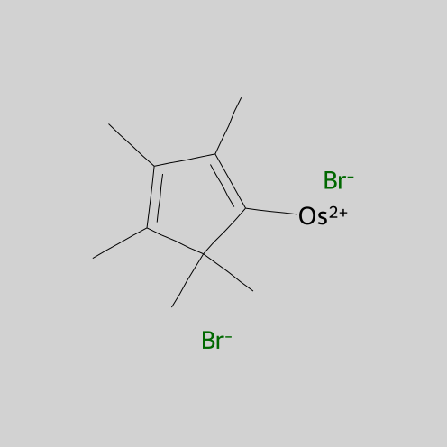 CC1=C(C)C(C)(C)[C]([Os+2])=C1C.[Br-].[Br-]